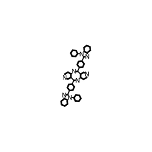 c1ccc(-n2c(-c3ccc(/C4=N/c5ccncc5/C(c5ccc(-c6nc7ccccc7n6-c6ccccc6)cc5)=N\c5ccncc54)cc3)nc3ccccc32)cc1